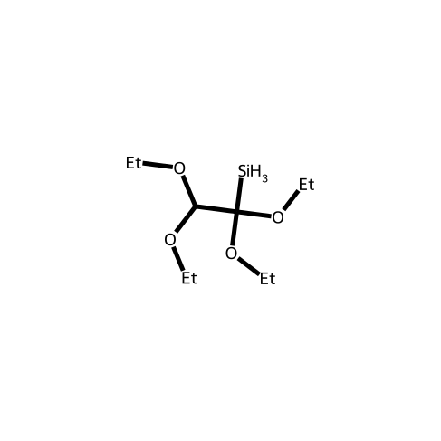 CCOC(OCC)C([SiH3])(OCC)OCC